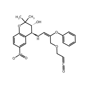 CC1(C)Oc2ccc([N+](=O)[O-])cc2[C@H](N/C=C(\COCC=C=O)Oc2ccccc2)[C@H]1O